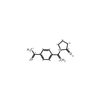 C=C(c1ccc(C(C)=O)cc1)N1CCCC1=O